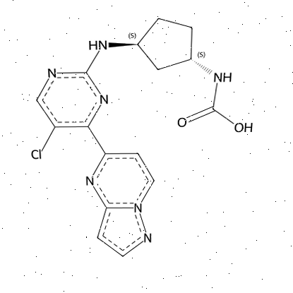 O=C(O)N[C@H]1CC[C@H](Nc2ncc(Cl)c(-c3ccn4nccc4n3)n2)C1